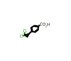 O=C(O)c1ccc(C2CC2(Cl)Cl)cc1